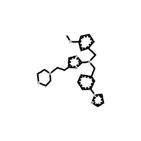 COc1cccc(CN(Cc2cccc(-n3cccn3)c2)c2nc(CCN3CCOCC3)cs2)c1